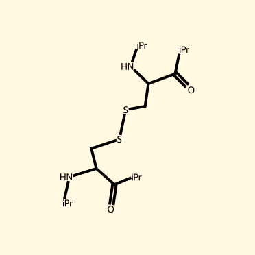 CC(C)NC(CSSCC(NC(C)C)C(=O)C(C)C)C(=O)C(C)C